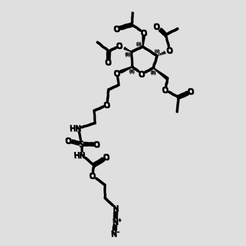 CC(=O)OC[C@H]1O[C@@H](OCCOCCNS(=O)(=O)NC(=O)OCCN=[N+]=[N-])[C@H](OC(C)=O)[C@@H](OC(C)=O)[C@@H]1OC(C)=O